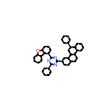 c1ccc(-c2nc(-c3ccc4ccc5c6ccccc6c(-c6ccccc6)cc5c4c3)nc(-c3cccc4oc5ccccc5c34)n2)cc1